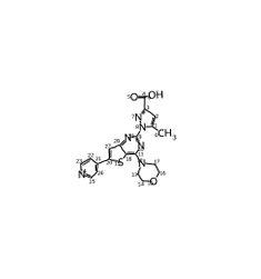 Cc1cc(C(=O)O)nn1-c1nc(N2CCOCC2)c2sc(-c3ccncc3)cc2n1